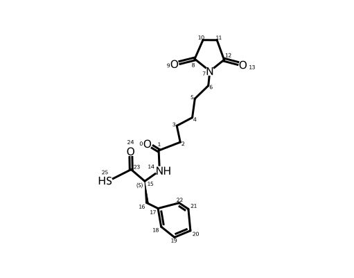 O=C(CCCCCN1C(=O)CCC1=O)N[C@@H](Cc1ccccc1)C(=O)S